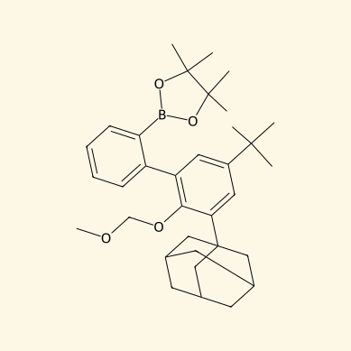 COCOc1c(-c2ccccc2B2OC(C)(C)C(C)(C)O2)cc(C(C)(C)C)cc1C12CC3CC(CC(C3)C1)C2